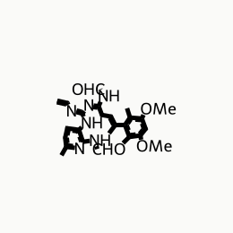 C=C/N=C(\N=C(/C/C=C(\C)c1c(C)c(OC)cc(OC)c1C)NC=O)Nc1ccc(C)nc1NC=O